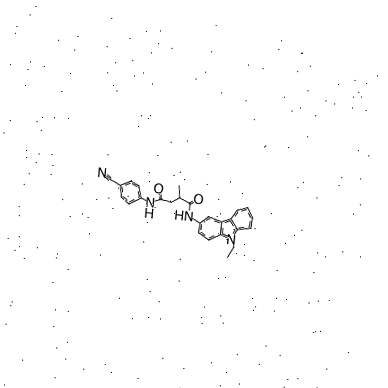 CCn1c2ccccc2c2cc(NC(=O)C(C)CC(=O)Nc3ccc(C#N)cc3)ccc21